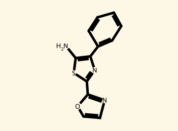 Nc1sc(-c2ncco2)nc1-c1ccccc1